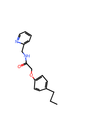 CCCc1ccc(OCC(=O)NCc2ccccn2)cc1